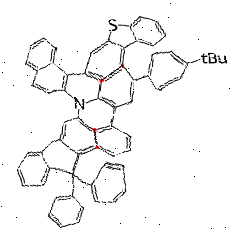 CC(C)(C)c1ccc(-c2ccc(N(c3ccc4c(c3)-c3ccccc3C4(c3ccccc3)c3ccccc3)c3ccc4ccccc4c3-c3ccc4c(c3)sc3ccccc34)c(-c3ccccc3)c2)cc1